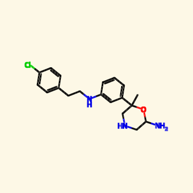 CC1(c2cccc(NCCc3ccc(Cl)cc3)c2)CNCC(N)O1